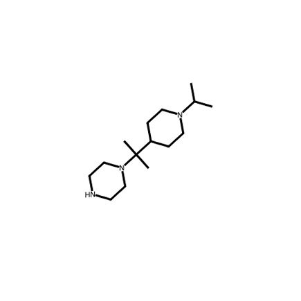 CC(C)N1CCC(C(C)(C)N2CCNCC2)CC1